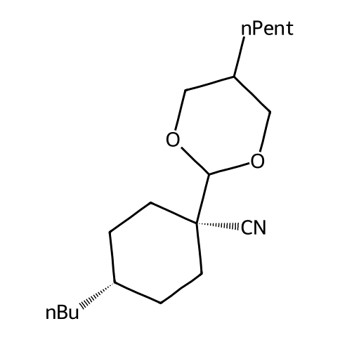 CCCCCC1COC([C@]2(C#N)CC[C@@H](CCCC)CC2)OC1